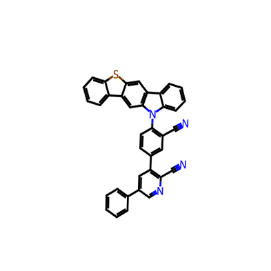 N#Cc1cc(-c2cc(-c3ccccc3)cnc2C#N)ccc1-n1c2ccccc2c2cc3sc4ccccc4c3cc21